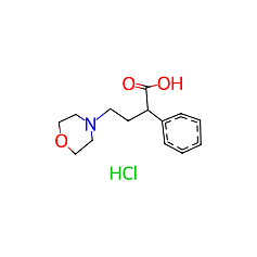 Cl.O=C(O)C(CCN1CCOCC1)c1ccccc1